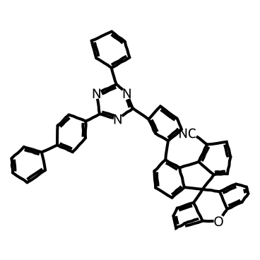 N#Cc1cccc2c1-c1c(-c3cccc(-c4nc(-c5ccccc5)nc(-c5ccc(-c6ccccc6)cc5)n4)c3)cccc1C21c2ccccc2Oc2ccccc21